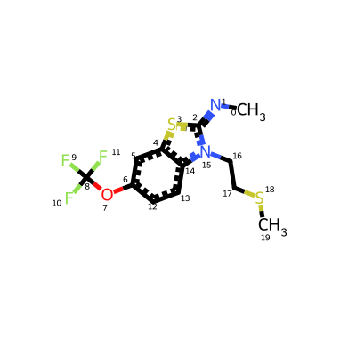 C/N=c1/sc2cc(OC(F)(F)F)ccc2n1CCSC